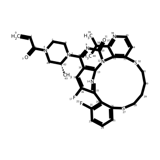 C=CC(=O)N1CCN(c2nc(=O)n3c4nc(c(F)cc24)-c2c(F)cccc2SCCCCSc2ccnc(C(C)C)c2-3)[C@H](C)C1